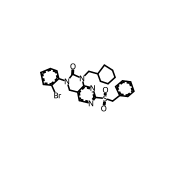 O=C1N(c2ccccc2Br)Cc2cnc(S(=O)(=O)Cc3ccccc3)nc2N1CC1CCCCC1